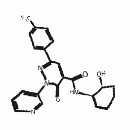 O=C(N[C@@H]1CCCC[C@@H]1O)c1cc(-c2ccc(C(F)(F)F)cc2)nn(-c2cccnc2)c1=O